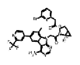 Cc1cc(-c2ccnc(C(F)(F)F)c2)cc2c3c(N)ncnc3n(CC(=O)N3[C@@H]4CC4C[C@H]3C(=O)Cc3cccc(Br)n3)c12